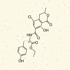 CCOC(=O)[C@H](Cc1ccc(O)cc1)NC(=O)c1cc(Cl)c2c(c1O)C(=O)OC(C)C2